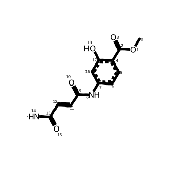 COC(=O)c1ccc(NC(=O)C=CC([NH])=O)cc1O